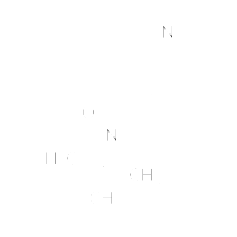 CC(C)(C)N1Cc2ccncc2CO1